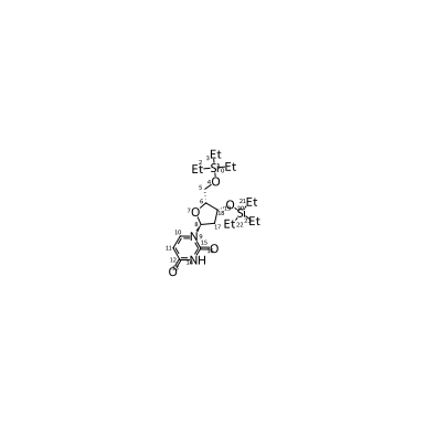 CC[Si](CC)(CC)OC[C@H]1O[C@H](n2ccc(=O)[nH]c2=O)C[C@H]1O[Si](CC)(CC)CC